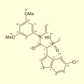 C=CN(C(=O)C(c1csc2ccc(Cl)cc12)P(C)(=O)O)c1cc(OC)cc(OC)c1